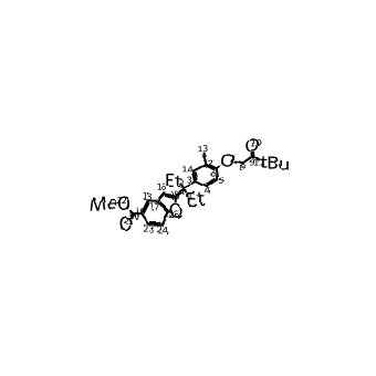 CCC(CC)(c1ccc(OCC(=O)C(C)(C)C)c(C)c1)c1cc2cc(C(=O)OC)ccc2o1